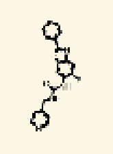 O=C(NCc1ccncc1)Nc1cc2oc(-c3ccccc3)nc2cc1F